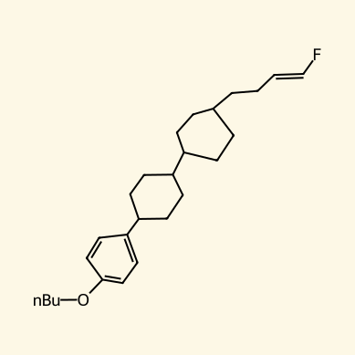 CCCCOc1ccc(C2CCC(C3CCC(CCC=CF)CC3)CC2)cc1